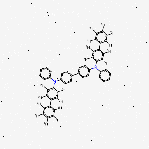 [2H]c1c([2H])c([2H])c(-c2c([2H])c([2H])c(N(c3ccccc3)c3ccc(-c4ccc(N(c5ccccc5)c5c([2H])c([2H])c(-c6c([2H])c([2H])c([2H])c([2H])c6[2H])c([2H])c5[2H])cc4)cc3)c([2H])c2[2H])c([2H])c1[2H]